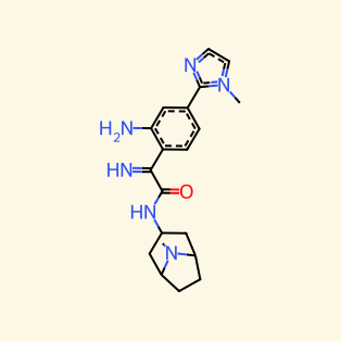 CN1C2CCC1CC(NC(=O)C(=N)c1ccc(-c3nccn3C)cc1N)C2